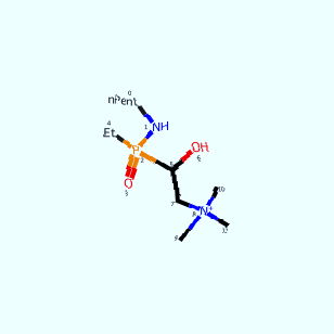 CCCCCNP(=O)(CC)C(O)C[N+](C)(C)C